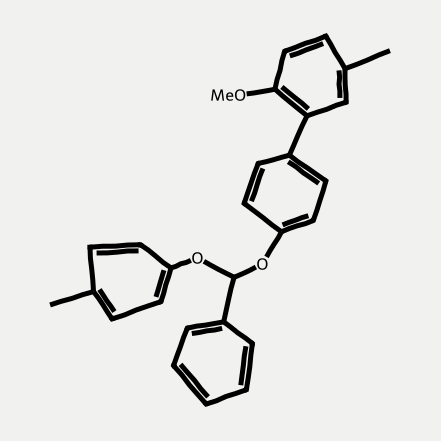 COc1ccc(C)cc1-c1ccc(OC(Oc2ccc(C)cc2)c2ccccc2)cc1